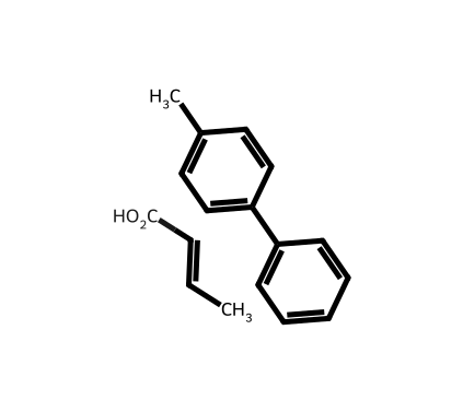 CC=CC(=O)O.Cc1ccc(-c2ccccc2)cc1